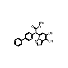 CC(C)(C)OC(=O)N(c1ccc(-c2ccccc2)cc1)c1cc(O)c(C#N)c2ccnn12